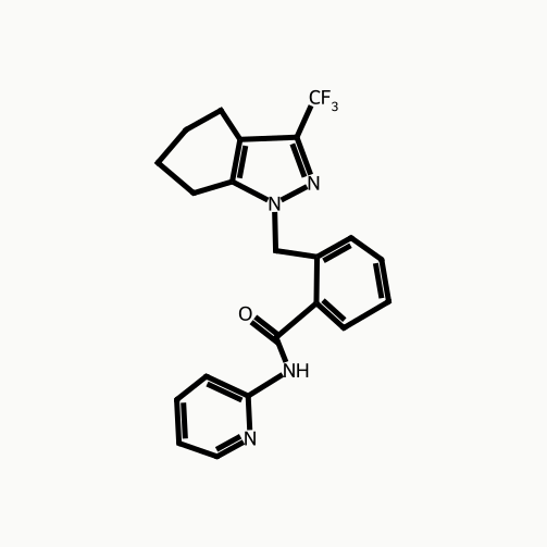 O=C(Nc1ccccn1)c1ccccc1Cn1nc(C(F)(F)F)c2c1CCCC2